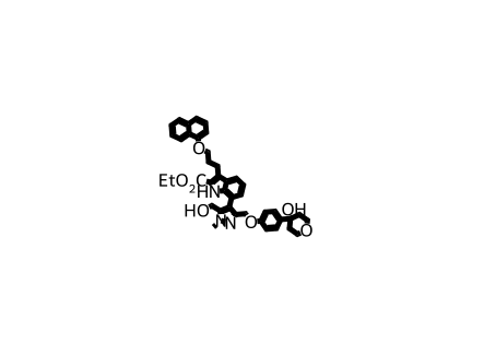 CCOC(=O)c1[nH]c2c(-c3c(COc4ccc(C5(O)CCOCC5)cc4)nn(C)c3CO)cccc2c1CCCOc1cccc2ccccc12